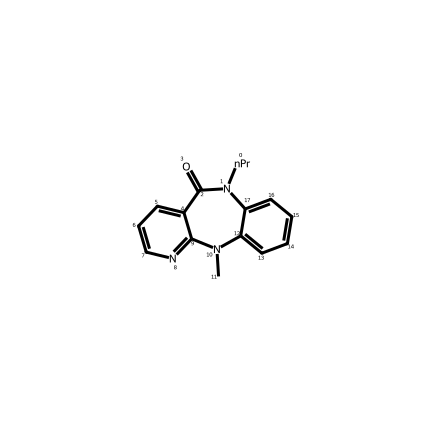 CCCN1C(=O)c2cccnc2N(C)c2ccccc21